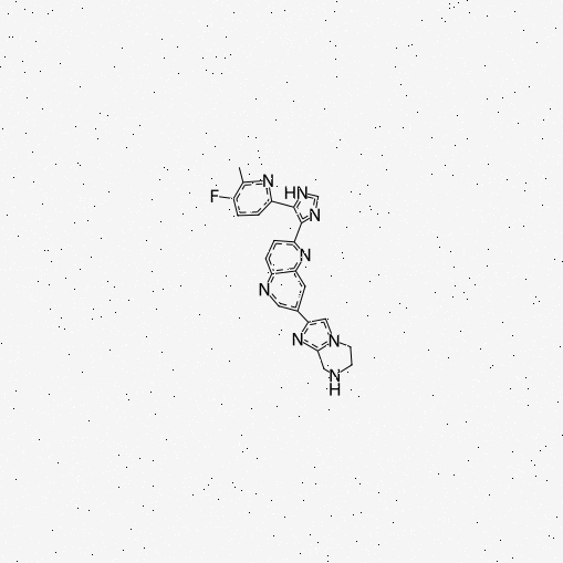 Cc1nc(-c2[nH]cnc2-c2ccc3ncc(-c4cn5c(n4)CNCC5)cc3n2)ccc1F